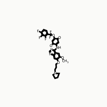 COc1cc2c(NC3=CC(=O)C(OC(F)(F)c4ccc(F)c(F)c4F)=CC3=O)ncnc2cc1OCCCN1CCCC1